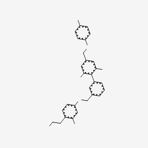 CCOC(=O)CCc1ccc(OCc2cccc(-c3c(C)cc(COc4ccc(F)cc4)cc3C)c2)cc1F